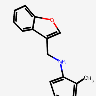 Cc1ccccc1NCc1coc2ccccc12